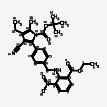 CCOC(=O)c1cccc([N+](=O)[O-])c1NCc1ccc(-c2c(C#N)c(CC)c(C)n2C(=O)OC(C)(C)C)cc1